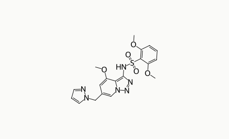 COc1cccc(OC)c1S(=O)(=O)Nc1nnn2cc(Cn3cccn3)cc(OC)c12